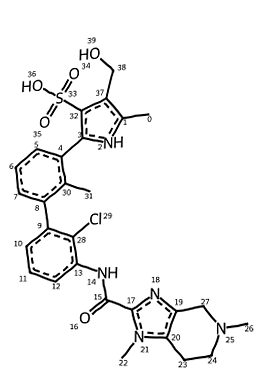 Cc1[nH]c(-c2cccc(-c3cccc(NC(=O)c4nc5c(n4C)CCN(C)C5)c3Cl)c2C)c(S(=O)(=O)O)c1CO